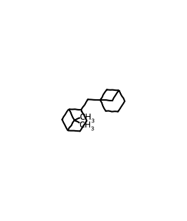 CC1(C)C2CC[C](CC34CCCC(C3)C4)C1C2